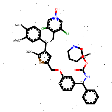 COc1ccc([C@H](Cc2c(Cl)c[n+](O)cc2Cl)c2cc(COc3cccc([C@@H](NC(=O)O[C@H]4CN5CCC4CC5)c4ccccc4)c3)sc2C(=O)[O-])cc1OC